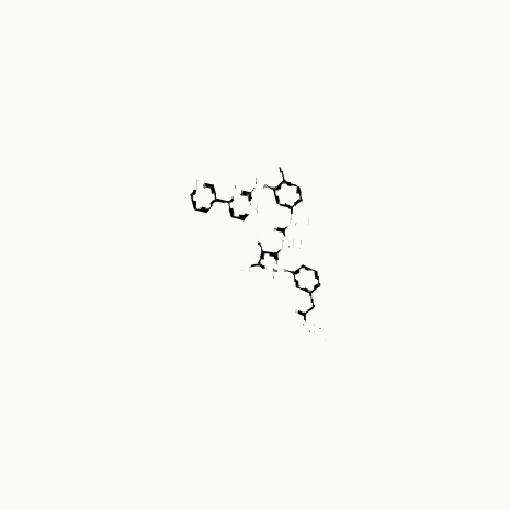 Cc1ccc(NC(=O)Nc2c(I)c(C(C)(C)C)nn2-c2cccc(CC(N)=O)c2)cc1Nc1nccc(-c2cccnc2)n1